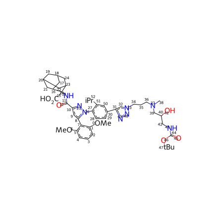 COc1cccc(OC)c1-c1cc(C(=O)NC2(C(=O)O)C3CC4CC(C3)CC2C4)nn1-c1ccc(-c2cn(CCCN(C)CC(O)CNC(=O)OC(C)(C)C)nn2)cc1C(C)C